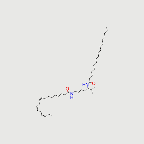 CC/C=C\C/C=C\C/C=C\CCCCCCCC(=O)NCCCC[C@H](NC(=O)CCCCCCCCCCCCCCCCC)C(C)C